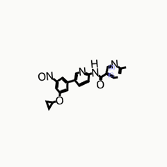 C=C(C)/N=C\C(=C/C)C(=O)Nc1ccc(-c2cc(N=O)cc(OC3CC3)c2)cn1